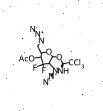 CC(=O)OC1C(CN=[N+]=[N-])OC(OC(=N)C(Cl)(Cl)Cl)C(N=[N+]=[N-])C1(F)F